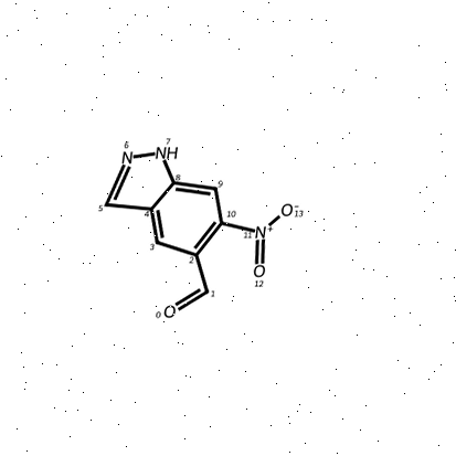 O=Cc1cc2cn[nH]c2cc1[N+](=O)[O-]